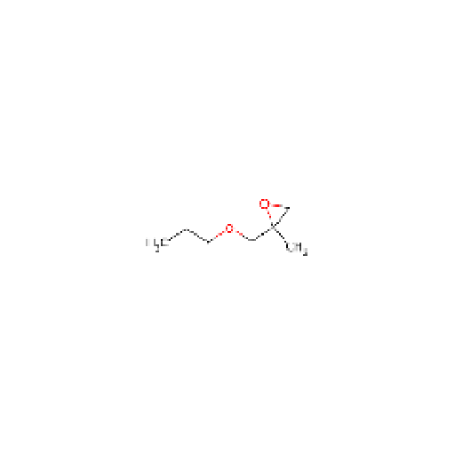 CC[CH]OCC1(C)CO1